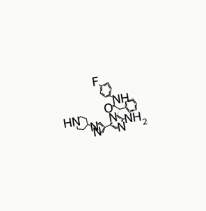 Nc1ncc(-c2cnn(C3CCNCC3)c2)nc1[C@H](C(=O)Nc1ccc(F)cc1)c1ccccc1